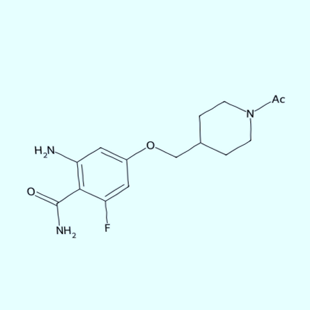 CC(=O)N1CCC(COc2cc(N)c(C(N)=O)c(F)c2)CC1